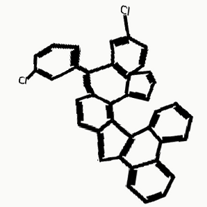 Clc1cccc(C(c2cccc(Cl)c2)=c2ccc3c(c2C2=CC=CC2)-c2c(c4ccccc4c4ccccc24)[C]=3)c1